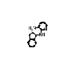 Nc1cccnc1NC1CCc2ccccc21